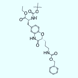 CCOC(=O)[C@H](Cc1ccc2c(c1)NC(=O)[C@@H](CCCNC(=O)OCc1ccccc1)O2)NC(=O)OC(C)(C)C